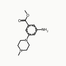 COC(=O)c1cc(N)cc(N2CCN(C)CC2)c1